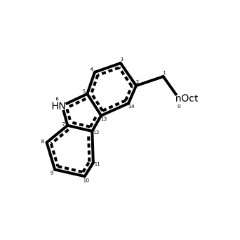 CCCCCCCCCc1ccc2[nH]c3ccccc3c2c1